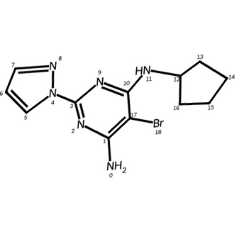 Nc1nc(-n2cccn2)nc(NC2CCCC2)c1Br